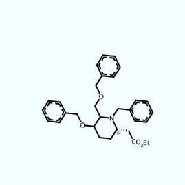 CCOC(=O)C[C@@H]1CCC(OCc2ccccc2)C(COCc2ccccc2)N1Cc1ccccc1